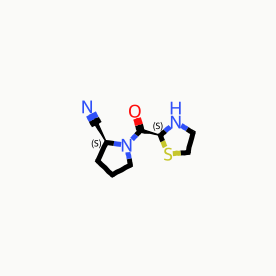 N#C[C@@H]1CCCN1C(=O)[C@H]1NCCS1